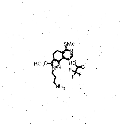 CSc1nccc2c1CCc1c-2nn(CCCN)c1C(=O)O.O=C(O)C(F)(F)F